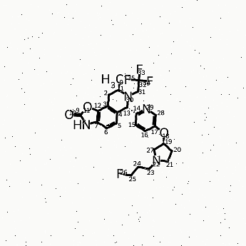 C[C@@H]1Cc2c(ccc3[nH]c(=O)oc23)[C@@H](c2ccc(O[C@H]3CCN(CCCF)C3)cn2)N1CC(F)(F)F